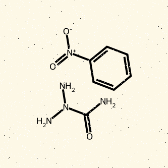 NC(=O)N(N)N.O=[N+]([O-])c1ccccc1